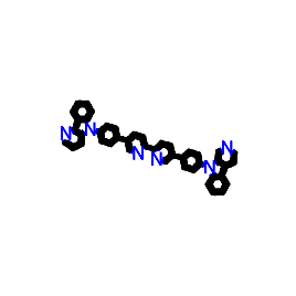 c1ccc2c(c1)c1ccncc1n2-c1ccc(-c2ccc(-c3ccc(-c4ccc(-n5c6ccccc6c6ncccc65)cc4)cn3)nc2)cc1